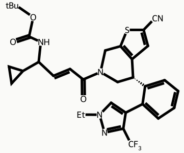 CCn1cc(-c2ccccc2[C@@H]2CN(C(=O)/C=C/C(NC(=O)OC(C)(C)C)C3CC3)Cc3sc(C#N)cc32)c(C(F)(F)F)n1